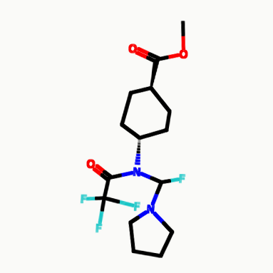 COC(=O)[C@H]1CC[C@H](N(C(=O)C(F)(F)F)C(F)N2CCCC2)CC1